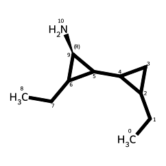 CCC1CC1C1C(CC)[C@H]1N